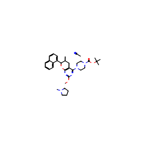 CC1Cc2c(nc(OC[C@@H]3CCCN3C)nc2N2CCN(C(=O)OC(C)(C)C)[C@@H](CC#N)C2)OC1c1cccc2ccccc12